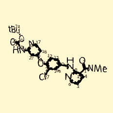 CNC(=O)c1cccnc1Nc1ccc(Oc2ccnc(NC(=O)OC(C)(C)C)c2)c(Cl)c1